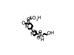 O=C1N2CC(n3cc(S(=O)(=O)NCCO)cn3)=CC(C2)N1OS(=O)(=O)O